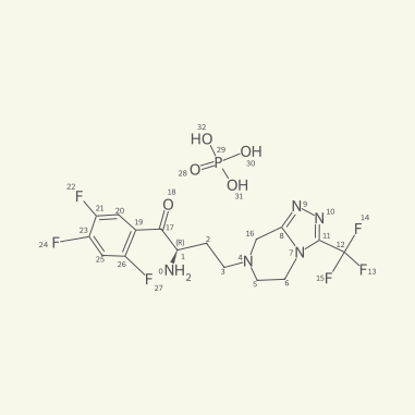 N[C@H](CCN1CCn2c(nnc2C(F)(F)F)C1)C(=O)c1cc(F)c(F)cc1F.O=P(O)(O)O